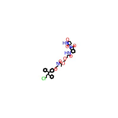 CC(OCCOCCC(=O)Nc1cccc2c1CN(C1CCC(=O)NC1=O)C2=O)C(=O)N(C)CCOc1ccc(/C(=C(/CCCl)c2ccccc2)c2ccccc2)cc1